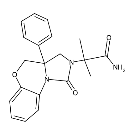 CC(C)(C(N)=O)N1CC2(c3ccccc3)COc3ccccc3N2C1=O